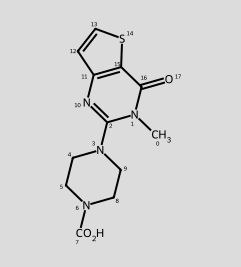 Cn1c(N2CCN(C(=O)O)CC2)nc2ccsc2c1=O